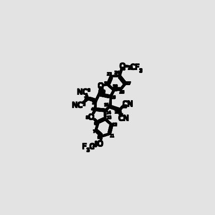 N#CC(C#N)=c1c2oc3cc(OC(F)(F)F)ccc3c2c(=C(C#N)C#N)c2c1oc1cc(OC(F)(F)F)ccc12